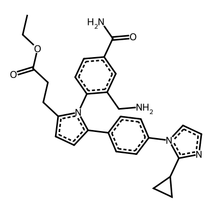 CCOC(=O)CCc1ccc(-c2ccc(-n3ccnc3C3CC3)cc2)n1-c1ccc(C(N)=O)cc1CN